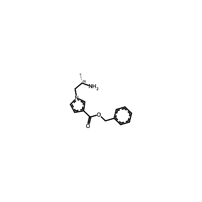 C[C@H](N)Cn1ccc(C(=O)OCc2ccccc2)c1